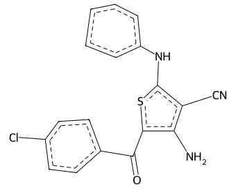 N#Cc1c(Nc2ccccc2)sc(C(=O)c2ccc(Cl)cc2)c1N